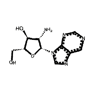 N[C@H]1[C@H](O)[C@@H](CO)O[C@H]1n1cnc2cncnc21